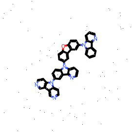 c1ccc2c(c1)c1ncccc1n2-c1ccc2oc3ccc(-n4c5ccc(-n6c7ccncc7c7cnccc76)cc5c5ncccc54)cc3c2c1